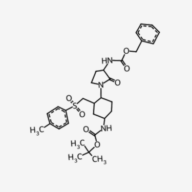 Cc1ccc(S(=O)(=O)CC2CC(NC(=O)OC(C)(C)C)CCC2N2CCC(NC(=O)OCc3ccccc3)C2=O)cc1